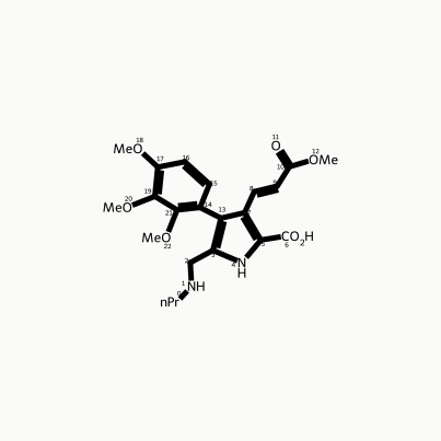 CCCNCc1[nH]c(C(=O)O)c(C=CC(=O)OC)c1-c1ccc(OC)c(OC)c1OC